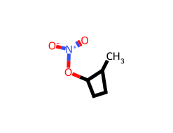 CC1CCC1O[N+](=O)[O-]